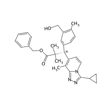 Cc1ccc([C@H](c2ccn3c(C4CC4)nnc3c2C)C(C)(C)C(=O)OCc2ccccc2)cc1CO